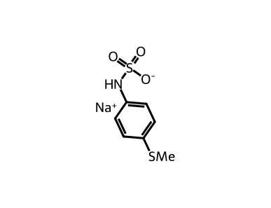 CSc1ccc(NS(=O)(=O)[O-])cc1.[Na+]